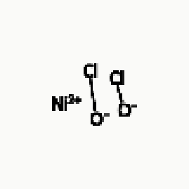 [Ni+2].[O-]Cl.[O-]Cl